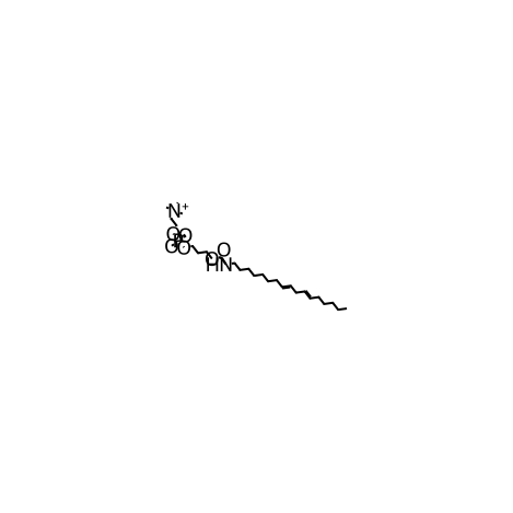 CCCCCC=CCC=CCCCCCCCNC(=O)OCCCOP(=O)([O-])OCC[N+](C)(C)C